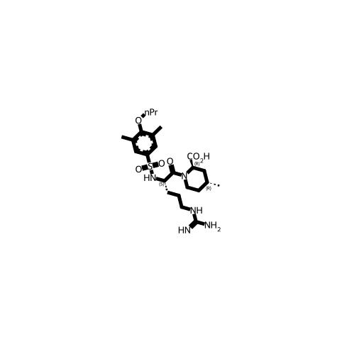 CCCOc1c(C)cc(S(=O)(=O)N[C@@H](CCCNC(=N)N)C(=O)N2CC[C@@H](C)C[C@@H]2C(=O)O)cc1C